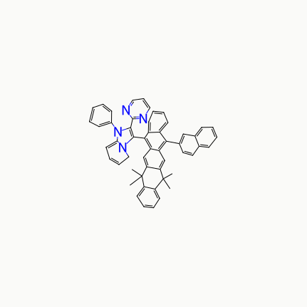 CC1(C)c2ccccc2C(C)(C)c2cc3c(-c4ccc5ccccc5c4)c4ccccc4c(C4=C(c5ncccn5)N(c5ccccc5)C5=CC=CCN54)c3cc21